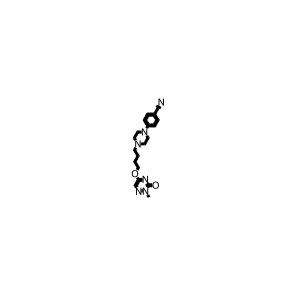 Cn1ncc(OCCCCN2CCN(c3ccc(C#N)cc3)CC2)nc1=O